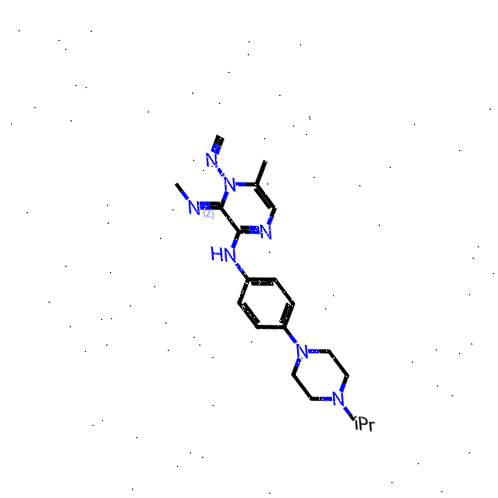 C=Nn1c(C)cnc(Nc2ccc(N3CCN(C(C)C)CC3)cc2)/c1=N/C